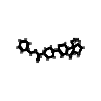 NCC1(c2ccc(N3CCN(C(=O)OCc4ccccc4)CC3)cc2)CCOC1=O